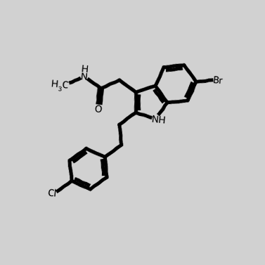 CNC(=O)Cc1c(CCc2ccc(Cl)cc2)[nH]c2cc(Br)ccc12